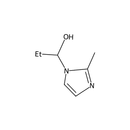 CCC(O)n1ccnc1C